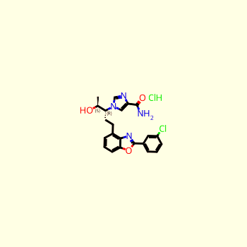 C[C@H](O)[C@@H](CCc1cccc2oc(-c3cccc(Cl)c3)nc12)n1cnc(C(N)=O)c1.Cl